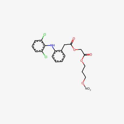 O=C(COC(=O)Cc1ccccc1Nc1c(Cl)cccc1Cl)OCCCO[N+](=O)[O-]